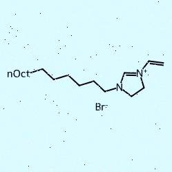 C=C[N+]1=CN(CCCCCCCCCCCCCC)CC1.[Br-]